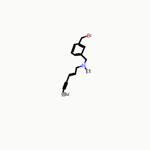 CCN(CC=CC#CC(C)(C)C)Cc1cccc(CBr)c1